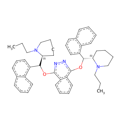 CCCN1CCCC[C@H]1C(Oc1nnc(OC(c2cccc3ccccc23)[C@@H]2CCCCN2CCC)c2ccccc12)c1cccc2ccccc12